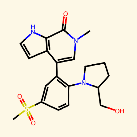 Cn1cc(-c2cc(S(C)(=O)=O)ccc2N2CCCC2CO)c2cc[nH]c2c1=O